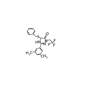 Cc1cc(C)cc(C2=NN(CC(F)(F)F)C(=O)C(SCc3ccccc3)N2)c1